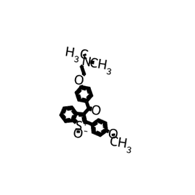 COc1ccc(-c2c(C(=O)c3ccc(OCCN(C)C)cc3)c3ccccc3[s+]2[O-])cc1